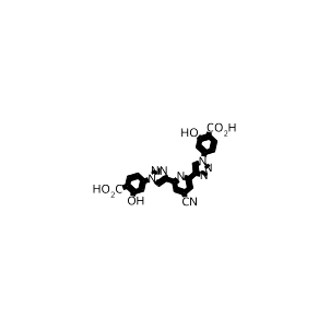 N#Cc1cc(-c2cn(-c3ccc(C(=O)O)c(O)c3)nn2)nc(-c2cn(-c3ccc(C(=O)O)c(O)c3)nn2)c1